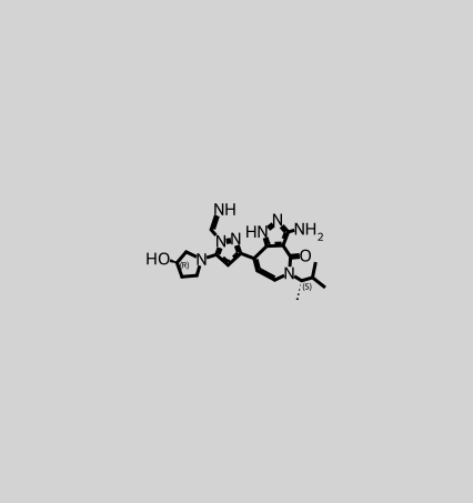 CC(C)[C@H](C)N1C=C=C(c2cc(N3CC[C@@H](O)C3)n(C=N)n2)c2[nH]nc(N)c2C1=O